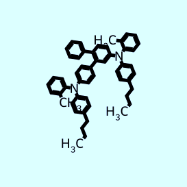 CCCCc1ccc(N(c2ccc(-c3cc(N(c4ccc(CCCC)cc4)c4ccccc4C)ccc3-c3ccccc3)cc2)c2ccccc2C)cc1